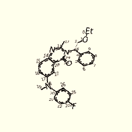 CCOC[C@H](c1ccccc1)n1c(C)nc2ccc(N(C)c3ccc(F)cc3)cc2c1=O